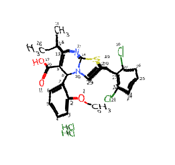 COc1ccccc1C1C(C(=O)O)=C(C(C)C)N=C2SC(c3c(Cl)cccc3Cl)=CN21.Cl.Cl